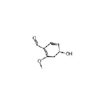 COC1=C(C=O)C=CC(O)C1